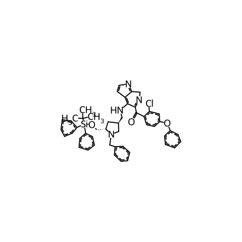 CC(C)(C)[Si](OC[C@@H]1C[C@@H](CNC2=C3C=CN=C3CN=C2C(=O)c2ccc(Oc3ccccc3)cc2Cl)CN1Cc1ccccc1)(c1ccccc1)c1ccccc1